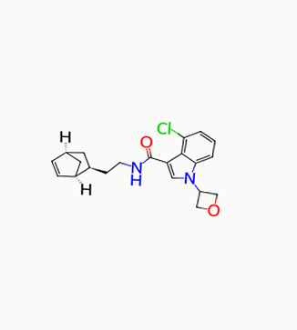 O=C(NCC[C@@H]1C[C@@H]2C=C[C@H]1C2)c1cn(C2COC2)c2cccc(Cl)c12